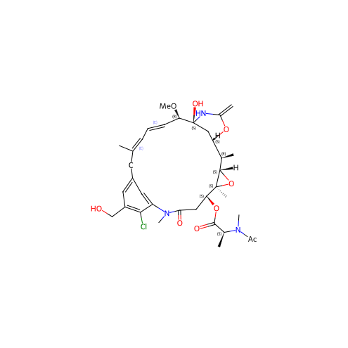 C=C1N[C@]2(O)C[C@H](O1)[C@@H](C)[C@@H]1O[C@@]1(C)[C@@H](OC(=O)[C@H](C)N(C)C(C)=O)CC(=O)N(C)c1cc(cc(CO)c1Cl)C/C(C)=C/C=C/[C@H]2OC